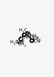 Cc1c(C#N)cccc1[C@@H](N)Nc1nnc(C)c2ccc(N3CC[C@@H](N(C)C)C(F)(F)C3)cc12